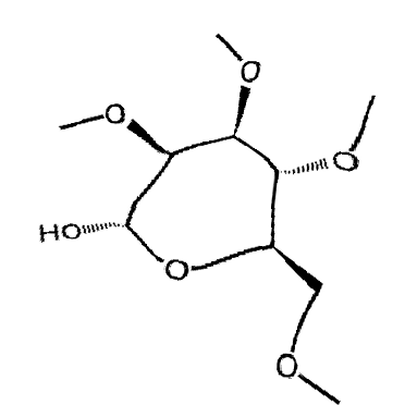 COC[C@H]1O[C@H](O)[C@@H](OC)[C@@H](OC)[C@@H]1OC